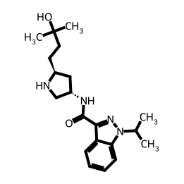 CC(C)n1nc(C(=O)N[C@@H]2CN[C@@H](CCC(C)(C)O)C2)c2ccccc21